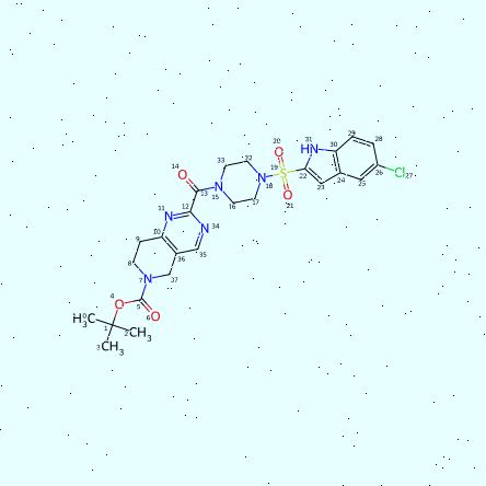 CC(C)(C)OC(=O)N1CCc2nc(C(=O)N3CCN(S(=O)(=O)c4cc5cc(Cl)ccc5[nH]4)CC3)ncc2C1